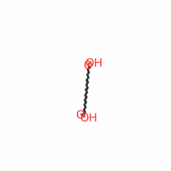 O=C(O)CCCCC=CC=CCC=CCC=CCCCCCOO